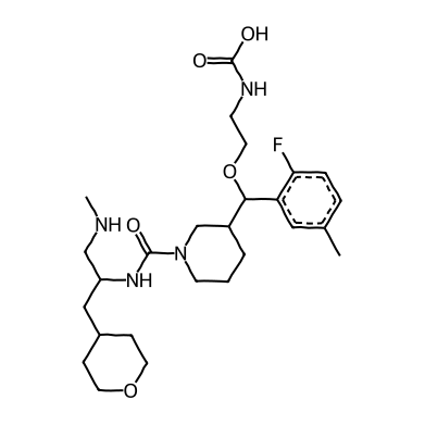 CNCC(CC1CCOCC1)NC(=O)N1CCCC(C(OCCNC(=O)O)c2cc(C)ccc2F)C1